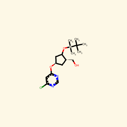 CC(C)(C)[Si](C)(C)OC1C[C@H](Oc2cc(Cl)ncn2)C[C@H]1CO